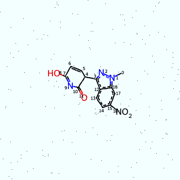 Cn1nc(C2C=CC(O)=NC2=O)c2ccc([N+](=O)[O-])cc21